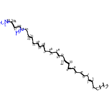 CCCCCCCCCCCCCCCCCCCCCCCCCNCCCN